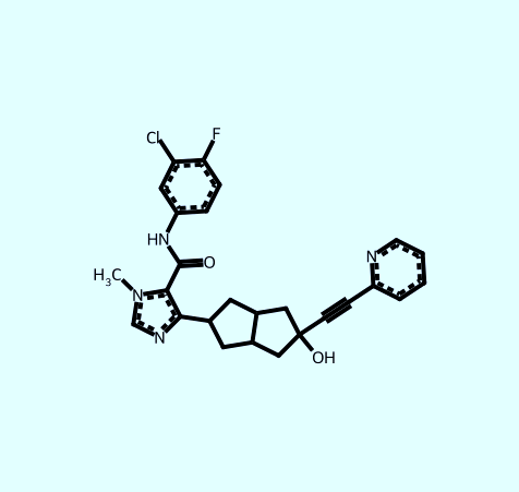 Cn1cnc(C2CC3CC(O)(C#Cc4ccccn4)CC3C2)c1C(=O)Nc1ccc(F)c(Cl)c1